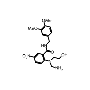 COc1ccc(CNC(=O)c2cc([N+](=O)[O-])ccc2N(CN)CCO)cc1OC